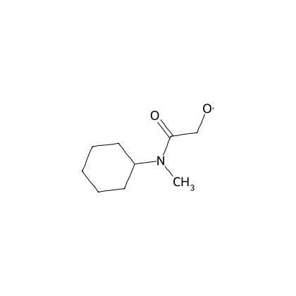 CN(C(=O)C[O])C1CCCCC1